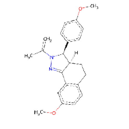 C=C(C)N1N=C2c3cc(OC)ccc3CC[C@@H]2[C@@H]1c1ccc(OC)cc1